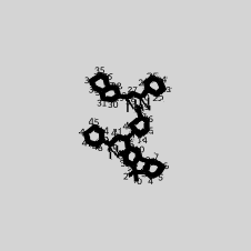 CC1(C)c2ccccc2-c2cc3c(-c4cccc(-c5nc(-c6ccccc6)cc(-c6ccc7ccccc7c6)n5)c4)cc(-c4ccccc4)nc3cc21